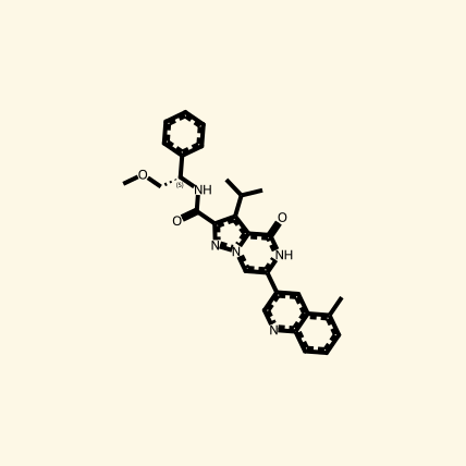 COC[C@@H](NC(=O)c1nn2cc(-c3cnc4cccc(C)c4c3)[nH]c(=O)c2c1C(C)C)c1ccccc1